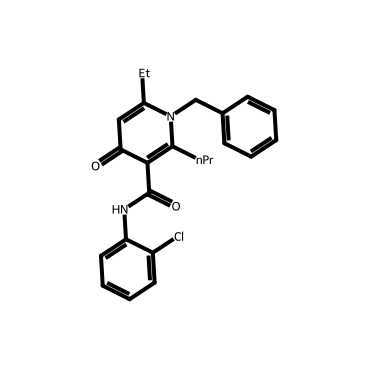 CCCc1c(C(=O)Nc2ccccc2Cl)c(=O)cc(CC)n1Cc1ccccc1